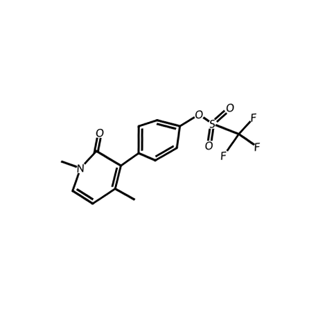 Cc1ccn(C)c(=O)c1-c1ccc(OS(=O)(=O)C(F)(F)F)cc1